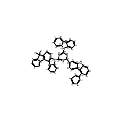 CC1(C)c2ccccc2-c2c1ccc1c2c2ccccc2n1-c1nc(-c2ccc3c(c2)oc2cccc(-c4ccccc4)c23)nc(-n2c3ccccc3c3ccccc32)n1